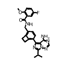 COc1ccc(F)cc1C(=O)NCc1ccc(-c2nc(C(C)C)n3ncnc(N)c23)c2c1CC2